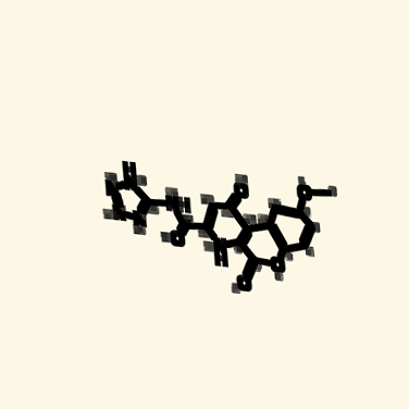 COc1ccc2oc(=O)c3[nH]c(C(=O)Nc4nnn[nH]4)cc(=O)c3c2c1